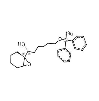 CC(C)(C)[Si](OCCCCC[C@@H](O)[C@@]12CCCCC1O2)(c1ccccc1)c1ccccc1